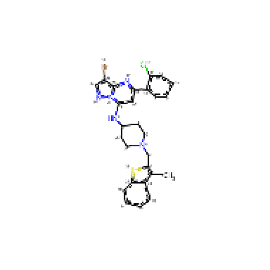 Cc1c(CN2CCC(Nc3cc(-c4ccccc4Cl)nc4c(Br)cnn34)CC2)sc2ccccc12